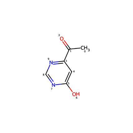 CC(=O)c1cc(O)ncn1